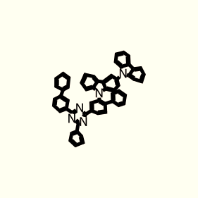 c1ccc(-c2cccc(-c3nc(-c4ccccc4)nc(-c4ccc(-c5ccccc5)c(-n5c6ccccc6c6cc(-n7c8ccccc8c8ccccc87)ccc65)c4)n3)c2)cc1